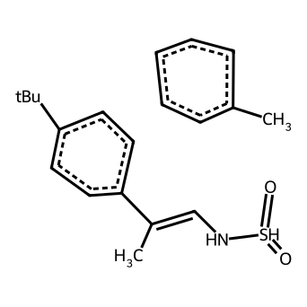 CC(=CN[SH](=O)=O)c1ccc(C(C)(C)C)cc1.Cc1ccccc1